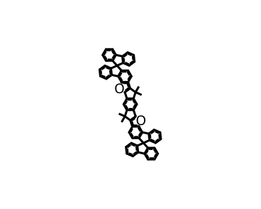 CC1(C)c2cc3c(cc2-c2oc4c5c(ccc4c21)C1(c2ccccc2-c2ccccc21)c1ccccc1-5)C(C)(C)c1c-3oc2c3c(ccc12)C1(c2ccccc2-c2ccccc21)c1ccccc1-3